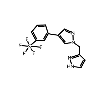 FS(F)(F)(F)(F)c1cccc(-c2cnn(Cc3cc[nH]n3)c2)c1